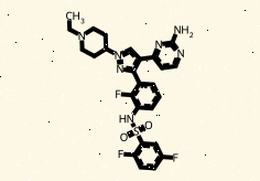 CCN1CCC(n2cc(-c3ccnc(N)n3)c(-c3cccc(NS(=O)(=O)c4cc(F)ccc4F)c3F)n2)CC1